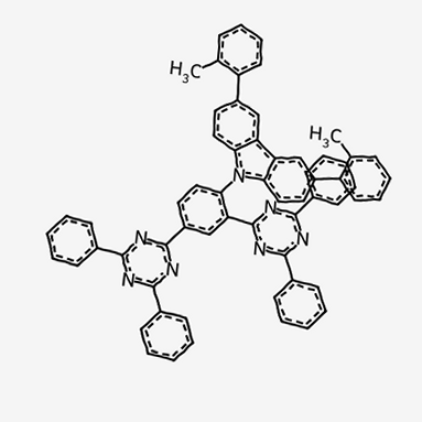 Cc1ccccc1-c1ccc2c(c1)c1cc(-c3ccccc3C)ccc1n2-c1ccc(-c2nc(-c3ccccc3)nc(-c3ccccc3)n2)cc1-c1nc(-c2ccccc2)nc(-c2ccccc2)n1